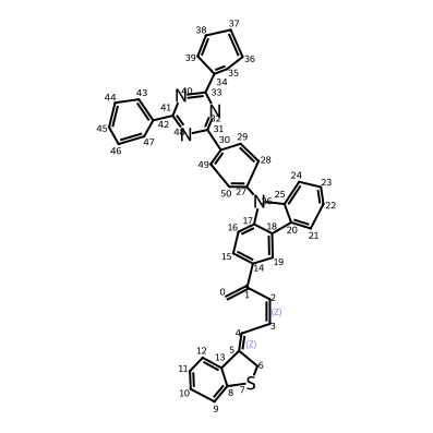 C=C(/C=C\C=C1/CSc2ccccc21)c1ccc2c(c1)c1ccccc1n2-c1ccc(-c2nc(-c3ccccc3)nc(-c3ccccc3)n2)cc1